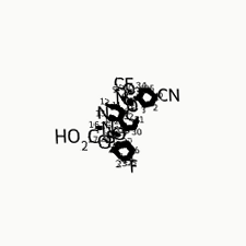 N#Cc1ccc(S(=O)(=O)N(CC(F)(F)F)c2cnc(N(CC(=O)O)S(=O)(=O)c3ccc(F)cc3)c3ccccc23)cc1